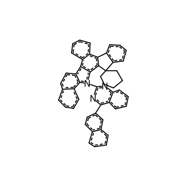 c1ccc2c(c1)-c1c(c3c(c4ccccc14)c1ccc4ccccc4c1n3-c1nc(-c3ccc4ccccc4c3)c3ccccc3n1)C21CCCCC1